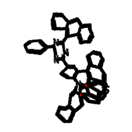 c1ccc(-c2nc(-c3ccc(-n4c5ccccc5c5cc6ccccc6cc54)c(-c4c5ccccc5cc5sc6ccccc6c45)c3)nc(-c3c4ccccc4cc4ccccc34)n2)cc1